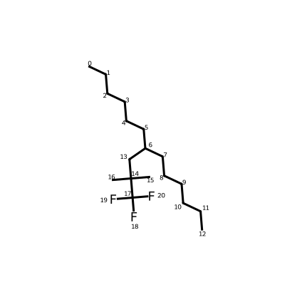 CCCCCCC(CCCCCC)CC(C)(C)C(F)(F)F